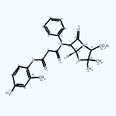 Cc1ccc(OC(=O)CC(=O)N(c2ccccc2)C2C(=O)N3C(C(=O)O)C(C)(C)S[C@H]23)c(C)c1